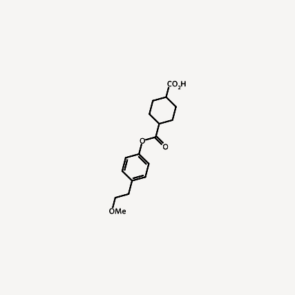 COCCc1ccc(OC(=O)C2CCC(C(=O)O)CC2)cc1